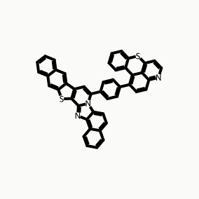 c1ccc2c(c1)Sc1ccnc3ccc(-c4ccc(-c5cc6c7cc8ccccc8cc7sc6c6nc7c8ccccc8ccc7n56)cc4)c-2c13